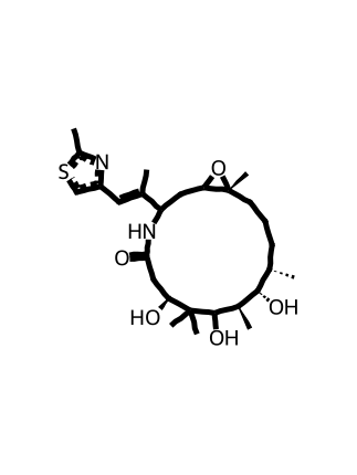 C/C(=C\c1csc(C)n1)C1CC2O[C@]2(C)CCC[C@H](C)[C@H](O)[C@@H](C)C(O)C(C)(C)[C@@H](O)CC(=O)N1